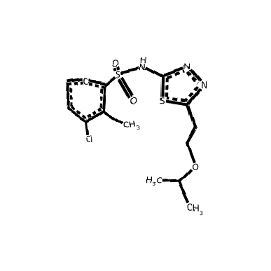 Cc1c(Cl)cccc1S(=O)(=O)Nc1nnc(CCOC(C)C)s1